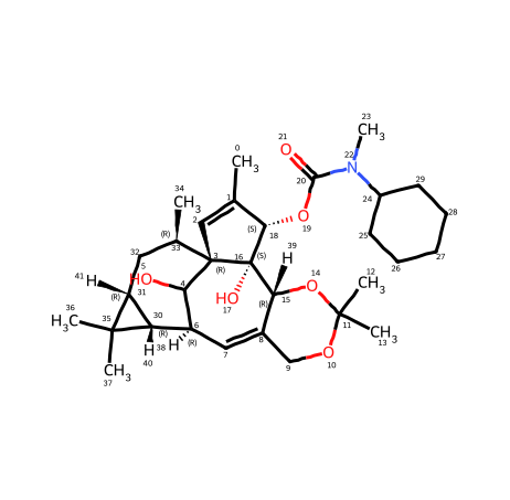 CC1=C[C@]23C(O)[C@@H](C=C4COC(C)(C)O[C@H]4[C@]2(O)[C@H]1OC(=O)N(C)C1CCCCC1)[C@H]1[C@@H](C[C@H]3C)C1(C)C